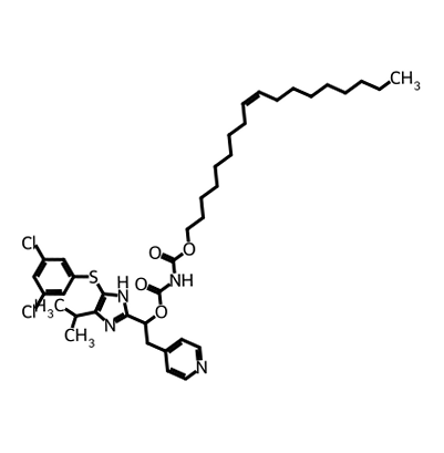 CCCCCCCC/C=C\CCCCCCCCOC(=O)NC(=O)OC(Cc1ccncc1)c1nc(C(C)C)c(Sc2cc(Cl)cc(Cl)c2)[nH]1